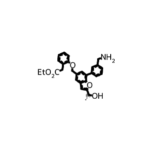 CCOC(=O)Cc1ccccc1OCc1cc(-c2cccc(CN)c2)c2oc([C@@H](C)O)cc2c1